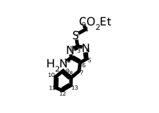 CCOC(=O)CSc1ncc(Cc2ccccc2)c(N)n1